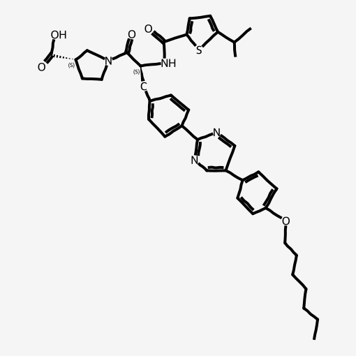 CCCCCCCOc1ccc(-c2cnc(-c3ccc(C[C@H](NC(=O)c4ccc(C(C)C)s4)C(=O)N4CC[C@H](C(=O)O)C4)cc3)nc2)cc1